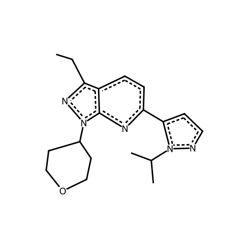 CCc1nn(C2CCOCC2)c2nc(-c3ccnn3C(C)C)ccc12